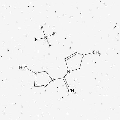 C=C(N1C=CN(C)C1)N1C=CN(C)C1.F[B-](F)(F)F